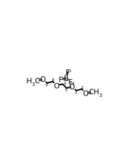 COCCOCCOCCOC.FB(F)F